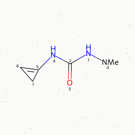 CNNC(=O)NC1=CC1